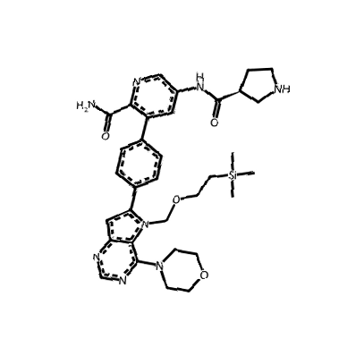 C[Si](C)(C)CCOCn1c(-c2ccc(-c3cc(NC(=O)[C@H]4CCNC4)cnc3C(N)=O)cc2)cc2ncnc(N3CCOCC3)c21